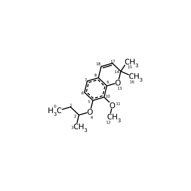 CCC(C)Oc1ccc2c(c1OC)OC(C)(C)C=C2